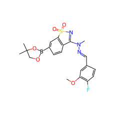 COc1cc(/C=N/N(C)C2=NS(=O)(=O)c3cc(B4OCC(C)(C)O4)ccc32)ccc1F